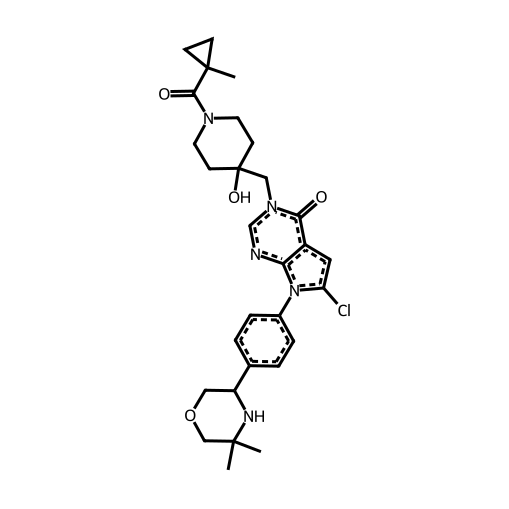 CC1(C)COCC(c2ccc(-n3c(Cl)cc4c(=O)n(CC5(O)CCN(C(=O)C6(C)CC6)CC5)cnc43)cc2)N1